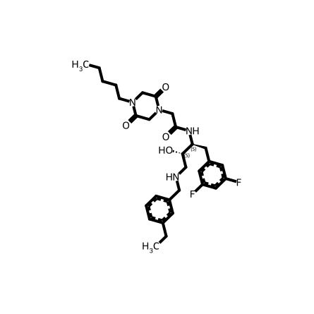 CCCCCN1CC(=O)N(CC(=O)N[C@@H](Cc2cc(F)cc(F)c2)[C@@H](O)CNCc2cccc(CC)c2)CC1=O